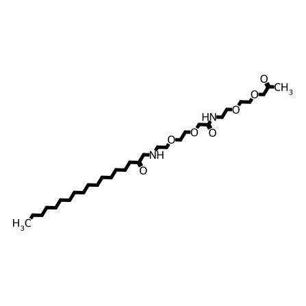 CCCCCCCCCCCCCCCCC(=O)CNCCOCCOCC(=O)NCCOCCOCC(C)=O